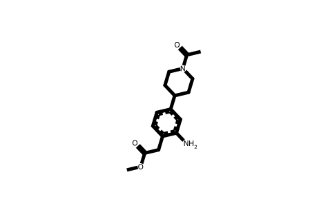 COC(=O)Cc1ccc(C2CCN(C(C)=O)CC2)cc1N